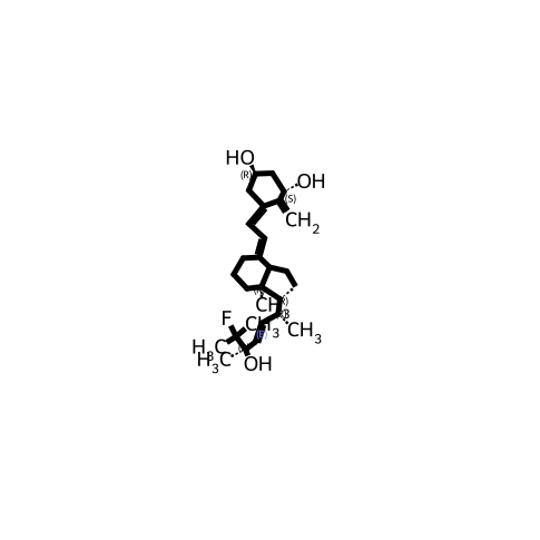 C=C1C(=CC=C2CCC[C@@]3(C)C2CC[C@@H]3[C@H](C)/C=C/[C@@](C)(O)C(C)(C)F)C[C@@H](O)C[C@@H]1O